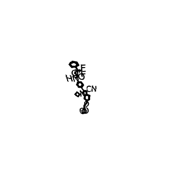 N#Cc1c(-c2ccc(NC(=O)O[C@@H](c3ccccc3)C(F)F)cc2)n(C2CCC2)c2cc(OCC3OCCO3)ccc12